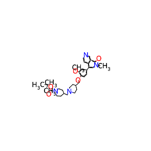 COc1cc(-c2cn(C)c(=O)c3cnccc23)ccc1OCC1CCN(CC2CCN(C(=O)OC(C)(C)C)CC2)CC1